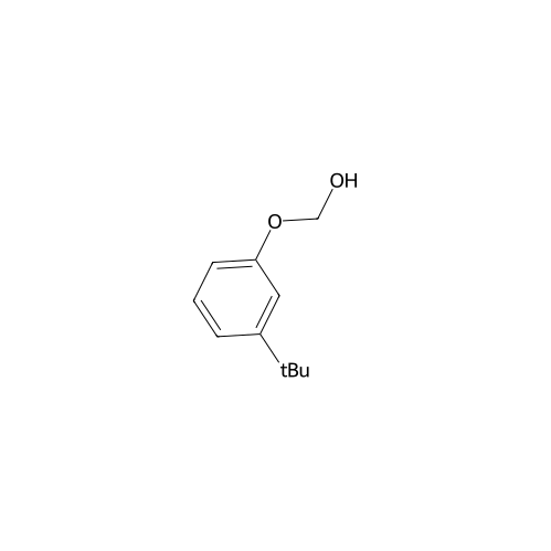 CC(C)(C)c1cccc(OCO)c1